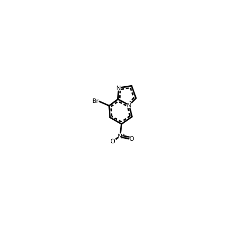 O=[N+]([O-])c1cc(Br)c2nccn2c1